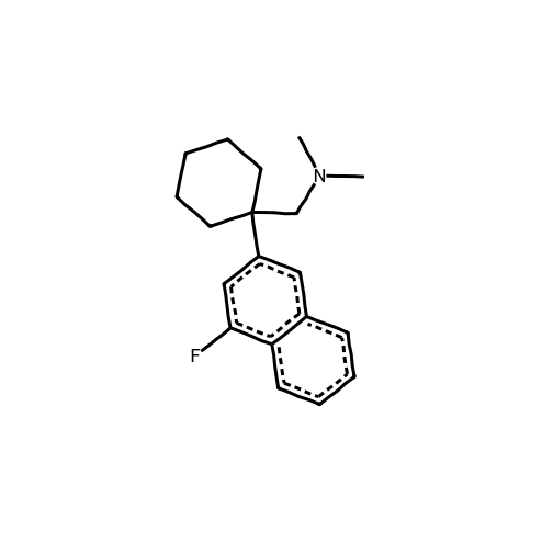 CN(C)CC1(c2cc(F)c3ccccc3c2)CCCCC1